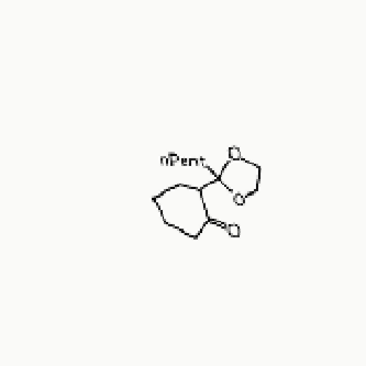 CCCCCC1(C2CCCCC2=O)OCCO1